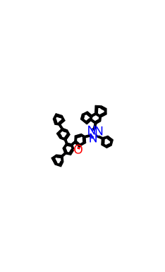 c1ccc(-c2ccc(-c3cc(-c4ccccc4)cc4oc5cc(-c6nc(-c7ccccc7)nc(-c7cc8ccccc8c8ccccc78)n6)ccc5c34)cc2)cc1